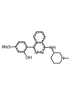 CSc1ccc(-c2nnc(N[C@@H]3CCCN(C)C3)c3ccccc23)c(O)c1